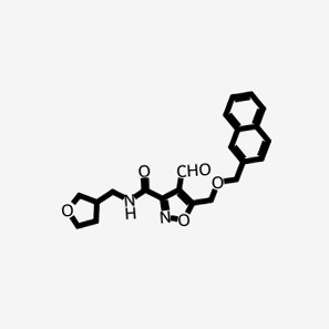 O=Cc1c(C(=O)NCC2CCOC2)noc1COCc1ccc2ccccc2c1